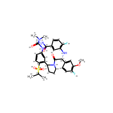 COc1cc([C@@H](Nc2cc(C(N)=O)ccc2F)C(=O)N2CCCC2c2cc(NC(=O)N(C)C)ccc2S(=O)(=O)C(C)C)ccc1F